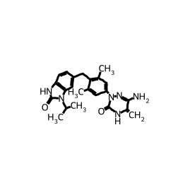 C=C1NC(=O)N(c2cc(C)c(Cc3ccc4[nH]c(=O)n(C(C)C)c4c3)c(C)c2)N=C1N